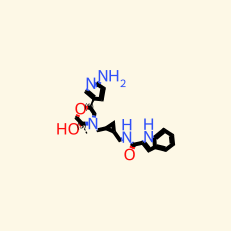 C[C@]1(O)CO[C@@H](c2ccc(N)nc2)CN1CC1CC1CNC(=O)c1cc2ccccc2[nH]1